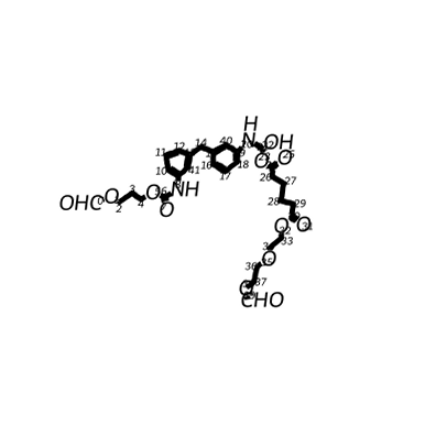 O=COCCCOC(=O)Nc1cccc(Cc2cccc(NC(O)OC(=O)CCCCC(=O)OCCOCCOC=O)c2)c1